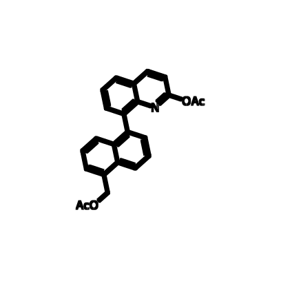 CC(=O)OCc1cccc2c(-c3cccc4ccc(OC(C)=O)nc34)cccc12